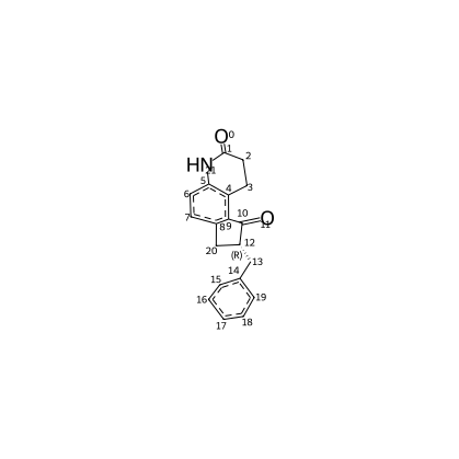 O=C1CCc2c(ccc3c2C(=O)[C@H](Cc2ccccc2)C3)N1